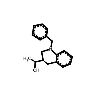 C[C@H](O)[C@@H]1Cc2ccccc2N(Cc2ccccc2)C1